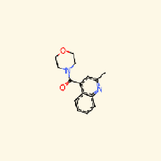 Cc1cc(C(=O)N2CCOCC2)c2ccccc2n1